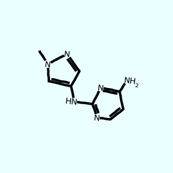 Cn1cc(Nc2nccc(N)n2)cn1